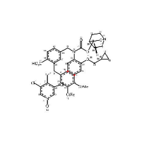 COc1ccc([C@H](Cc2c(Cl)c[n+]([O-])cc2Cl)c2cc(CN(C(=O)O[C@H]3CN4CCC3CC4)c3ccccc3OCC3CC3)ccc2C(=O)O)cc1OC